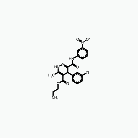 CCCOC(=O)C1=C(C)NN=C(C(=O)Nc2cccc([N+](=O)[O-])c2)C1c1cccc(Cl)c1